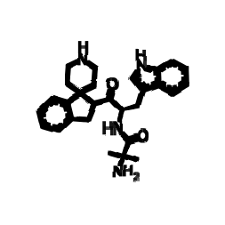 CC(C)(N)C(=O)N[C@H](Cc1c[nH]c2ccccc12)C(=O)C1Cc2ccccc2C12CCNCC2